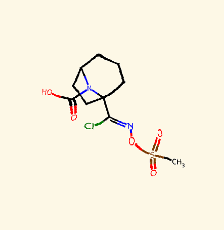 CS(=O)(=O)ON=C(Cl)C12CCCC(CC1)N2C(=O)O